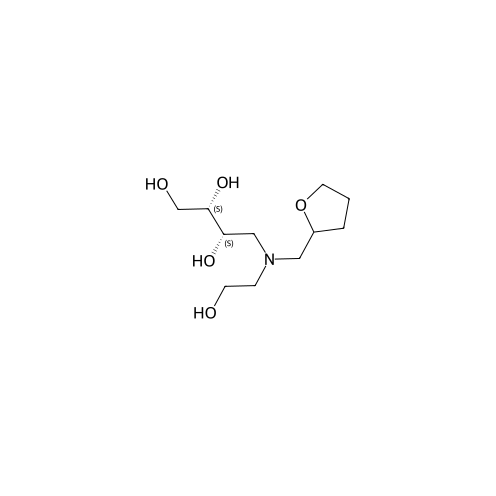 OCCN(CC1CCCO1)C[C@H](O)[C@@H](O)CO